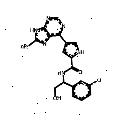 CCCc1nc2c(-c3c[nH]c(C(=O)NC(CO)c4cccc(Cl)c4)c3)ncnc2[nH]1